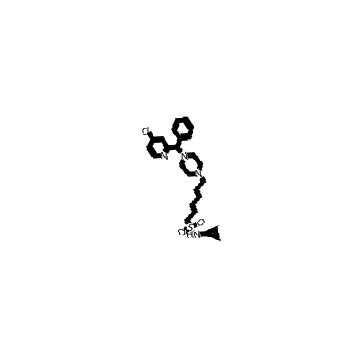 O=S(=O)(CCCCCCN1CCN(C(c2ccccc2)c2cc(Cl)ccn2)CC1)NC1CC1